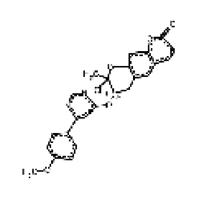 COc1ccc(-c2cc(O[C@H]3Cc4cc5ccc(=O)oc5cc4OC3(C)C)ncn2)cc1